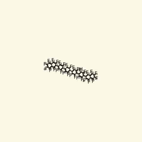 Fc1c(F)c(-c2c(F)c(F)c(-c3c(F)c(F)c(-c4c(F)c(F)c5c(F)c(F)c(F)c(F)c5c4F)c(F)c3F)c(P)c2F)c(F)c(F)c1-c1c(F)c(F)c(-c2c(F)c(F)c3c(F)c(F)c(F)c(F)c3c2F)c(F)c1F